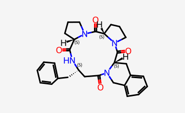 O=C1N[C@@H](Cc2ccccc2)CC(=O)N2Cc3ccccc3C[C@H]2C(=O)N2CCC[C@H]2C(=O)N2CCC[C@@H]12